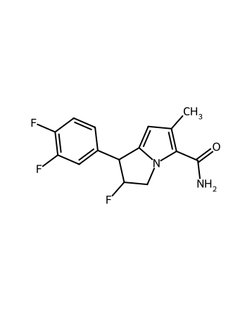 Cc1cc2n(c1C(N)=O)CC(F)C2c1ccc(F)c(F)c1